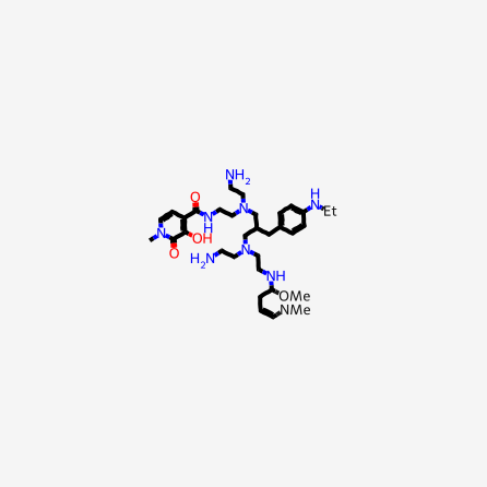 CCNc1ccc(CC(CN(CCN)CCNC(=O)c2ccn(C)c(=O)c2O)CN(CCN)CCNC(C/C=C\NC)OC)cc1